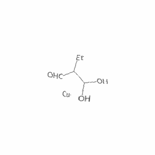 CCC(C=O)C(O)O.[Cu]